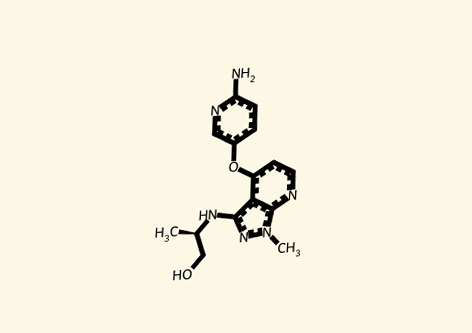 C[C@H](CO)Nc1nn(C)c2nccc(Oc3ccc(N)nc3)c12